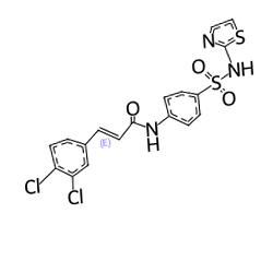 O=C(/C=C/c1ccc(Cl)c(Cl)c1)Nc1ccc(S(=O)(=O)Nc2nccs2)cc1